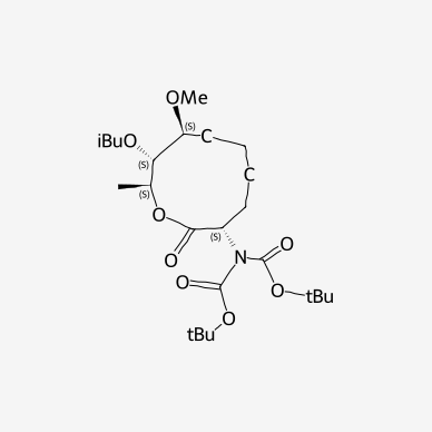 CO[C@H]1CCCC[C@H](N(C(=O)OC(C)(C)C)C(=O)OC(C)(C)C)C(=O)O[C@@H](C)[C@@H]1OCC(C)C